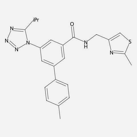 Cc1ccc(-c2cc(C(=O)NCc3csc(C)n3)cc(-n3nnnc3C(C)C)c2)cc1